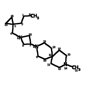 CCCC1(CN2CC(N3CCC4(CCN(C)CC4)CC3)C2)CC1